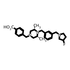 C[C@@H]1CN(Cc2ccc(C(=O)O)cc2)C[C@H](C)N1Cc1cccc(CN2CCC(F)C2)c1